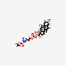 CC(C)(C)OC(=O)NCCCCOC(=O)OCC(=O)[C@@]1(O)CC[C@H]2[C@@H]3CCC4=CC(=O)C=C[C@]4(C)[C@H]3C(=O)C[C@@]21C